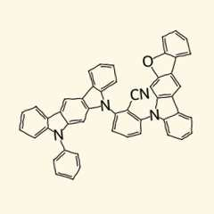 N#Cc1c(-n2c3ccccc3c3cc4c(cc32)oc2ccccc24)cccc1-n1c2ccccc2c2cc3c4ccccc4n(-c4ccccc4)c3cc21